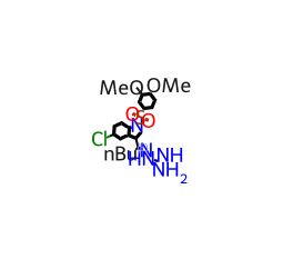 CCCC/C(=N\NC(=N)N)c1cn(S(=O)(=O)c2ccc(OC)c(OC)c2)c2ccc(Cl)cc12